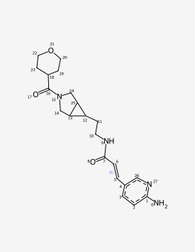 Nc1ccc(/C=C/C(=O)NCCC2C3CN(C(=O)C4CCOCC4)CC23)cn1